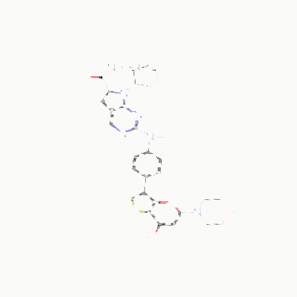 CN(O)C(=O)c1cc2cnc(Nc3ccc(-c4csc5c(=O)cc(N6CCOCC6)oc45)cc3)nc2n1C1CCCC1